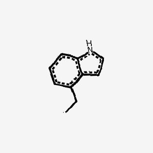 [CH2]Cc1cccc2[nH]ccc12